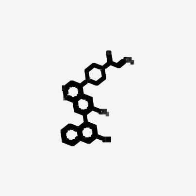 C=CC(=O)N1CCN(c2cnnc3cc(-c4cc(O)cc5ccccc45)c(C)cc23)CC1